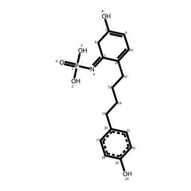 O=P(O)(O)N=C1CC(O)=CC=C1CCCCc1ccc(O)cc1